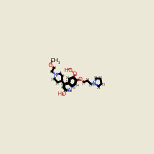 COCCN1CCC(c2cc(O)nc3cc(OCCCN4CCCC4)c(OO)cc23)CC1